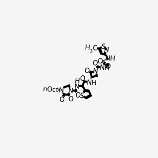 CCCCCCCCN1CCN(C(=O)NC(C(=O)N[C@H]2CN(C(=O)NS(=O)(=O)Nc3cc(C)sn3)C2=O)c2cccs2)C(=O)C1=O